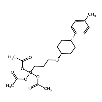 CC(=O)O[Si](CCCO[C@H]1CC[C@H](c2ccc(C)cc2)CC1)(OC(C)=O)OC(C)=O